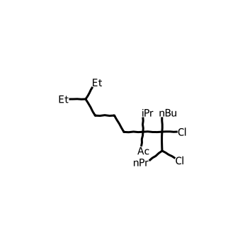 CCCCC(Cl)(C(Cl)CCC)C(CCCC(CC)CC)(C(C)=O)C(C)C